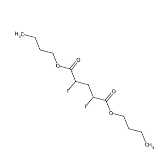 CCCCOC(=O)C(I)CC(I)C(=O)OCCCC